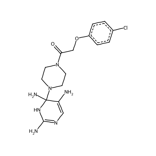 NC1=CN=C(N)NC1(N)N1CCN(C(=O)COc2ccc(Cl)cc2)CC1